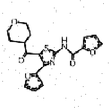 O=C(Nc1nc(-c2ccco2)c(C(=O)C2CCOCC2)s1)c1ccco1